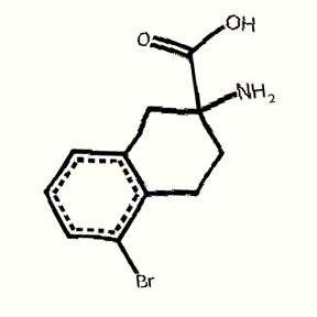 NC1(C(=O)O)CCc2c(Br)cccc2C1